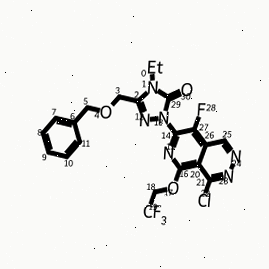 CCn1c(COCc2ccccc2)nn(-c2nc(OCC(F)(F)F)c3c(Cl)nncc3c2F)c1=O